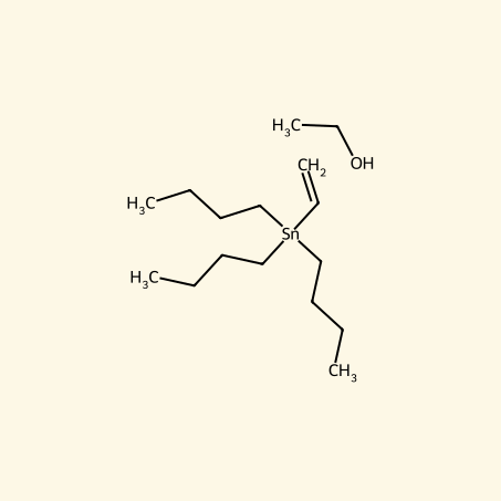 C=[CH][Sn]([CH2]CCC)([CH2]CCC)[CH2]CCC.CCO